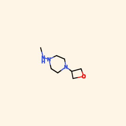 CNN1CCN(C2COC2)CC1